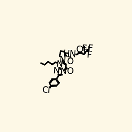 CCCCCn1c(N2CCC[C@H]2C(=O)NCC(O)CC(F)(F)F)cc(=O)n2cc(-c3ccc(Cl)cc3)nc12